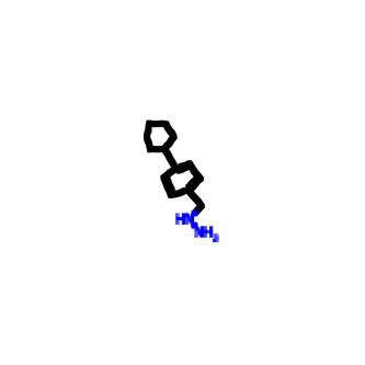 NNCc1ccc(C2CCCCC2)cc1